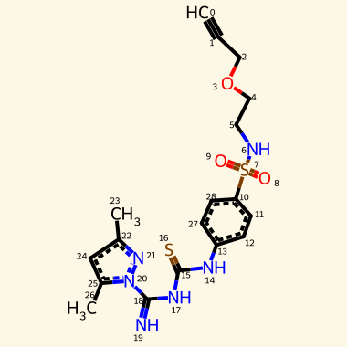 C#CCOCCNS(=O)(=O)c1ccc(NC(=S)NC(=N)n2nc(C)cc2C)cc1